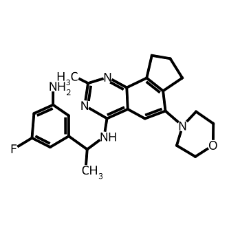 Cc1nc(NC(C)c2cc(N)cc(F)c2)c2cc(N3CCOCC3)c3c(c2n1)CCC3